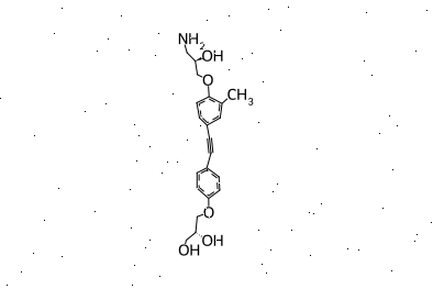 Cc1cc(C#Cc2ccc(OC[C@H](O)CO)cc2)ccc1OC[C@H](O)CN